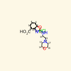 Cl.O=C(O)c1cccc2oc(NCCN3CCOCC3)nc12